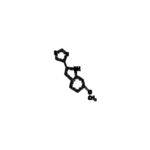 COc1ccc2cc(-c3cscn3)[nH]c2c1